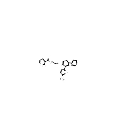 O=C(NCCCOc1ccc2c(sc3ccccc32)c1-c1ccc([N+](=O)[O-])cn1)c1cccnc1Cl